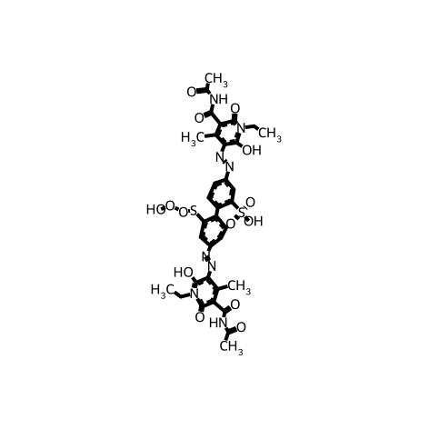 CCn1c(O)c(N=Nc2ccc(-c3ccc(N=Nc4c(C)c(C(=O)NC(C)=O)c(=O)n(CC)c4O)cc3S(=O)(=O)O)c(SOOO)c2)c(C)c(C(=O)NC(C)=O)c1=O